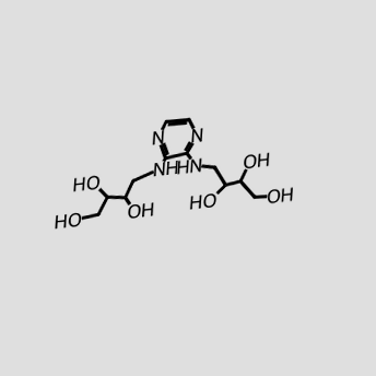 OCC(O)C(O)CNc1nccnc1NCC(O)C(O)CO